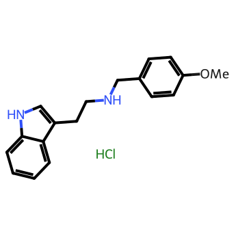 COc1ccc(CNCCc2c[nH]c3ccccc23)cc1.Cl